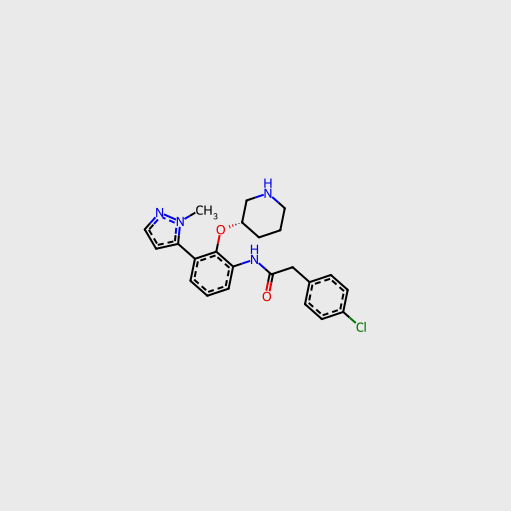 Cn1nccc1-c1cccc(NC(=O)Cc2ccc(Cl)cc2)c1O[C@H]1CCCNC1